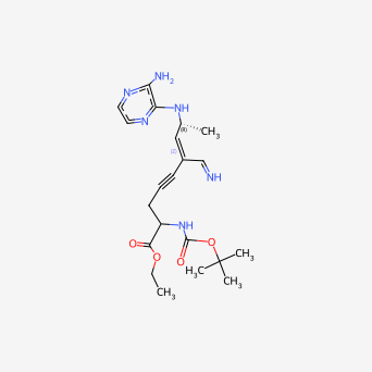 CCOC(=O)C(CC#C/C(C=N)=C/[C@@H](C)Nc1nccnc1N)NC(=O)OC(C)(C)C